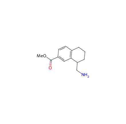 COC(=O)c1ccc2c(c1)C(CN)CCC2